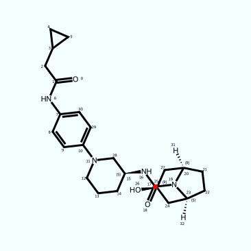 O=C(CC1CC1)Nc1ccc(N2CCC[C@H](NC(=O)N3[C@@H]4CC[C@H]3C[C@@H](O)C4)C2)cc1